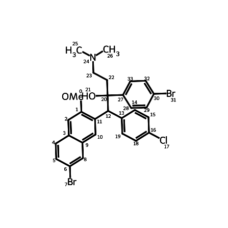 COc1cc2ccc(Br)cc2cc1C(c1ccc(Cl)cc1)C(O)(CCN(C)C)c1ccc(Br)cc1